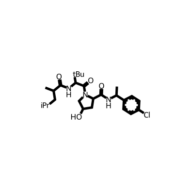 CC(C)CC(C)C(=O)NC(C(=O)N1CC(O)CC1C(=O)NC(C)c1ccc(Cl)cc1)C(C)(C)C